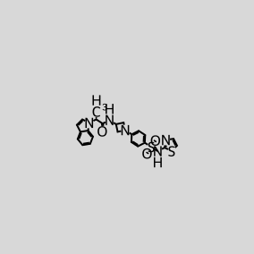 C[C@@H](C(=O)NC1CN(c2ccc(S(=O)(=O)Nc3nccs3)cc2)C1)n1ccc2ccccc21